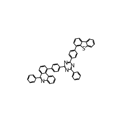 c1ccc(-c2nc(-c3ccc(-c4cccc5c4sc4ccccc45)cc3)nc(-c3ccc(-c4cccc5c(-c6ccccc6)nc6ccccc6c45)cc3)n2)cc1